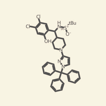 CC(C)(C)[S@+]([O-])NC(c1cc(Cl)c(Cl)cc1O)C1CCN(c2ccn(C(c3ccccc3)(c3ccccc3)c3ccccc3)n2)CC1